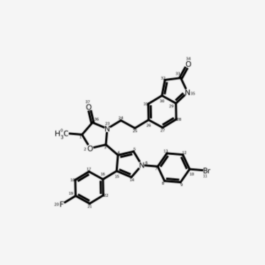 CC1OC(c2cn(-c3ccc(Br)cc3)cc2-c2ccc(F)cc2)N(CCc2ccc3c(c2)=CC(=O)N=3)C1=O